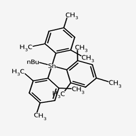 CCC[CH2][Sn]([c]1c(C)cc(C)cc1C)([c]1c(C)cc(C)cc1C)[c]1c(C)cc(C)cc1C